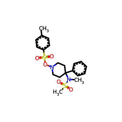 Cc1ccc(S(=O)(=O)ON2CCC(c3ccccc3)(N(C)S(C)(=O)=O)CC2)cc1